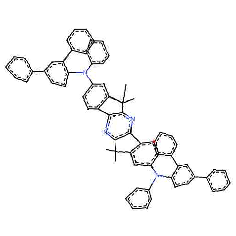 CC1(C)c2cc(N(c3ccccc3)c3ccc(-c4ccccc4)cc3-c3ccccc3)ccc2-c2nc3c(nc21)-c1ccc(N(c2ccccc2)c2ccc(-c4ccccc4)cc2-c2ccccc2)cc1C3(C)C